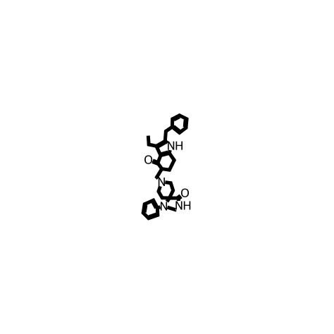 CCc1c(Cc2ccccc2)[nH]c2c1C(=O)C(CN1CCC3(CC1)C(=O)NCN3c1ccccc1)CC2